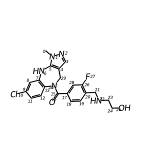 Cn1ncc2c1Nc1cc(Cl)ccc1N(C(=O)c1ccc(CNCCO)c(F)c1)C2